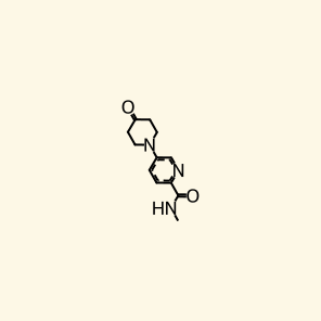 CNC(=O)c1ccc(N2CCC(=O)CC2)cn1